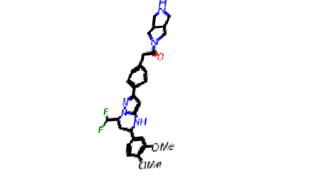 COc1ccc(C2CC(C(F)F)n3nc(-c4ccc(CC(=O)N5CC6CNCC6C5)cc4)cc3N2)cc1OC